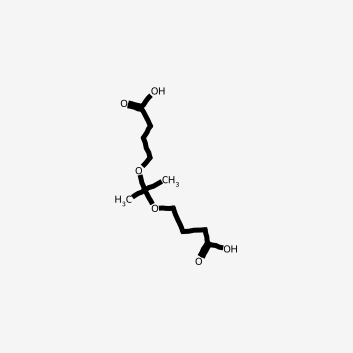 CC(C)(OCCCC(=O)O)OCCCC(=O)O